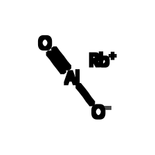 [O]=[Al][O-].[Rb+]